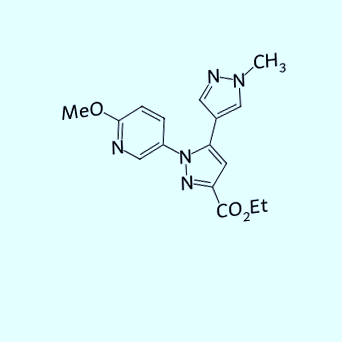 CCOC(=O)c1cc(-c2cnn(C)c2)n(-c2ccc(OC)nc2)n1